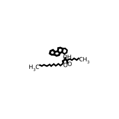 CCCCCCCCCCCc1cc(O)c(CCCCCC)c(=O)o1.c1ccc2c(c1)ccc1c3c(ccc12)CCCC3